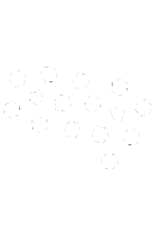 c1ccc(-c2cc(-c3cccc(-c4cc(-c5ccccc5)cc(-c5c(-c6ccccc6)c(-c6ccccc6)c(-c6ccccc6)n5-c5ccccc5)n4)c3)nc(-c3c(-c4ccccc4)c(-c4ccccc4)c(-c4ccccc4)n3-c3ccccc3)c2)cc1